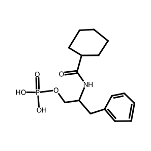 O=C(NC(COP(=O)(O)O)Cc1ccccc1)C1CCCCC1